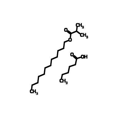 CCCCCC(=O)O.CCCCCCCCCCCCOC(=O)C(C)C